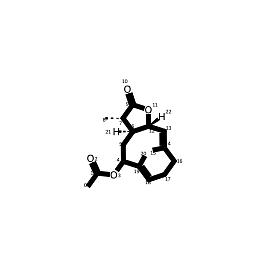 CC(=O)OC1C[C@H]2[C@H](C)C(=O)O[C@@H]2/C=C(\C)CC/C=C/1C